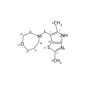 Cc1nc2[nH]c(C)c(CN3CCCOCC3)c2s1